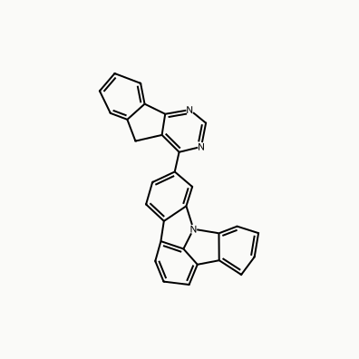 c1ccc2c(c1)Cc1c(-c3ccc4c5cccc6c7ccccc7n(c4c3)c65)ncnc1-2